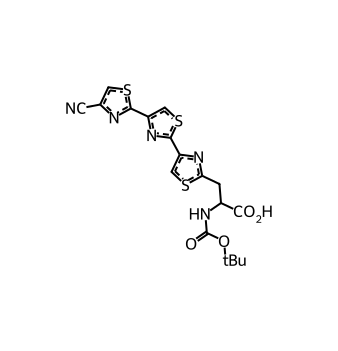 CC(C)(C)OC(=O)NC(Cc1nc(-c2nc(-c3nc(C#N)cs3)cs2)cs1)C(=O)O